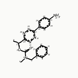 CC(OC(=O)N(C)Cc1ccccc1)c1nnc(-c2ccc(N)cc2)nn1